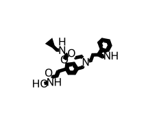 O=C(/C=C/c1ccc(CN(CCOC(=O)NCC2CC2)CCc2c[nH]c3ccccc23)cc1)NO